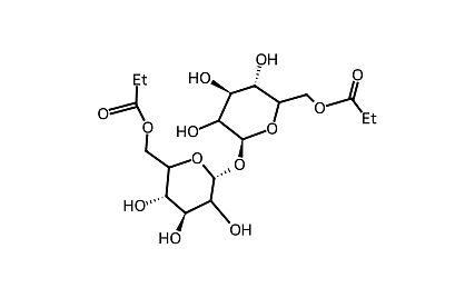 CCC(=O)OCC1O[C@H](O[C@@H]2OC(COC(=O)CC)[C@@H](O)[C@H](O)C2O)C(O)[C@@H](O)[C@@H]1O